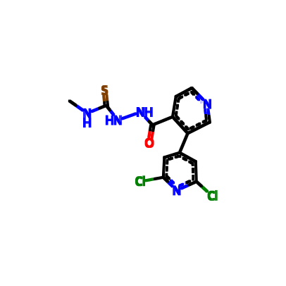 CNC(=S)NNC(=O)c1ccncc1-c1cc(Cl)nc(Cl)c1